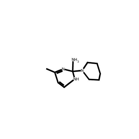 CC1=NC(N)(N2CCCCC2)NC=C1